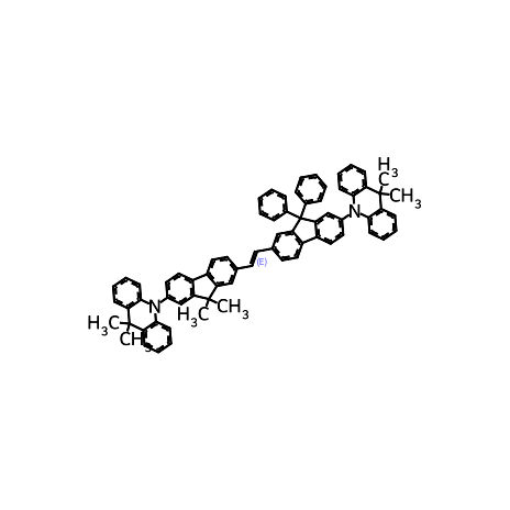 CC1(C)c2cc(/C=C/c3ccc4c(c3)C(c3ccccc3)(c3ccccc3)c3cc(N5c6ccccc6C(C)(C)c6ccccc65)ccc3-4)ccc2-c2ccc(N3c4ccccc4C(C)(C)c4ccccc43)cc21